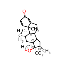 C[C@@H]1CC2C3CCC4=CC(=O)C=CC4(C)[C@]3(C)[C@@H](C)C[C@]2(C)[C@@]1(O)C(=O)O